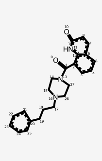 O=C(c1cccc2ccc(=O)[nH]c12)N1CCN(CCCc2ccccc2)CC1